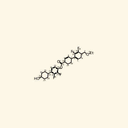 CCOCC1CC=C(C2C=CC(C(=O)Oc3ccc(C4CCC(O)CC4)c(F)c3F)CC2)C(F)=C1F